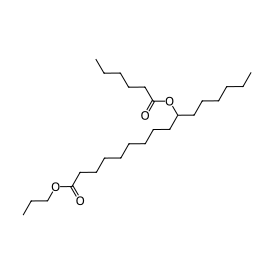 CCCCCCC(CCCCCCCCC(=O)OCCC)OC(=O)CCCCC